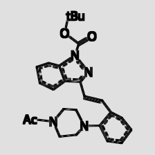 CC(=O)N1CCN(c2ccccc2C=Cc2nn(C(=O)OC(C)(C)C)c3ccccc23)CC1